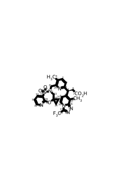 Cc1ccc([C@@H](CC(=O)O)c2ccn3c(C(F)(F)F)nnc3c2C)nc1CN1CC2(CC2)Oc2ncccc2S1(=O)=O